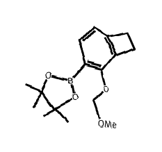 COCOc1c(B2OC(C)(C)C(C)(C)O2)ccc2c1CC2